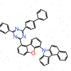 c1ccc(-c2ccc(-c3nc(-c4ccccc4)nc(-c4cccc5oc6c(-n7c8ccccc8c8c9ccccc9ccc87)cccc6c45)n3)cc2)cc1